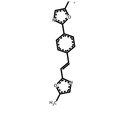 Cc1cnc(/C=C/c2ccc(-c3ncc(C)o3)cc2)o1